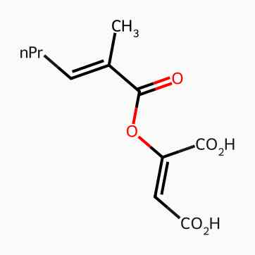 CCCC=C(C)C(=O)O/C(=C/C(=O)O)C(=O)O